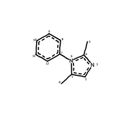 Cc1cnc(C)n1-c1ccccc1